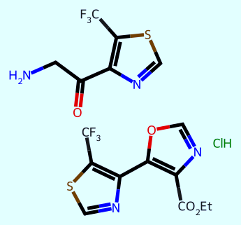 CCOC(=O)c1ncoc1-c1ncsc1C(F)(F)F.Cl.NCC(=O)c1ncsc1C(F)(F)F